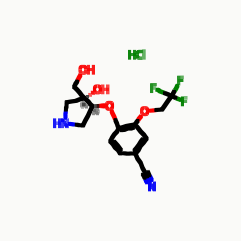 Cl.N#Cc1ccc(O[C@H]2CNC[C@@]2(O)CO)c(OCC(F)(F)F)c1